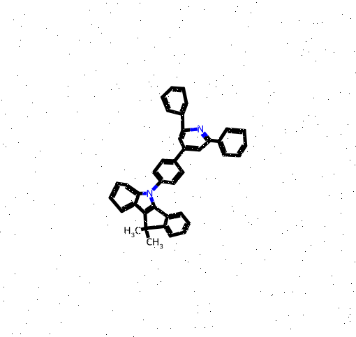 CC1(C)c2ccccc2-c2c1c1ccccc1n2-c1ccc(-c2cc(-c3ccccc3)nc(-c3ccccc3)c2)cc1